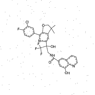 CC1(C)COc2c1cc(C(O)(CNC(=O)c1cc(O)c3ncccc3c1)C(F)(F)F)nc2-c1ccc(F)c(Cl)c1